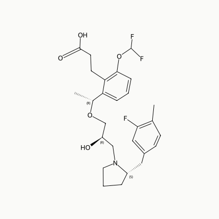 Cc1ccc(C[C@@H]2CCCN2C[C@@H](O)CO[C@H](C)c2cccc(OC(F)F)c2CCC(=O)O)cc1F